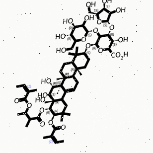 C/C=C(/C)C(=O)OC(C)C(C)C(=O)O[C@H]1[C@H](OC(=O)/C(C)=C\C)C(C)(C)CC2C3=CCC4[C@@]5(C)CC[C@H](O[C@@H]6OC(C(=O)O)[C@@H](O)[C@@H](O[C@@H]7O[C@@H](CO)[C@@H](O)C7O)C6O[C@@H]6OC(CO)[C@H](O)[C@@H](O)C6O)C(C)(C)C5CC[C@@]4(C)[C@]3(C)[C@@H](O)[C@@H](O)[C@]21CO